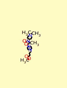 COC(=O)CCCN1CCN(C2OC(=O)N(C3CCN(C(C)C)CC3)C2C)CC1